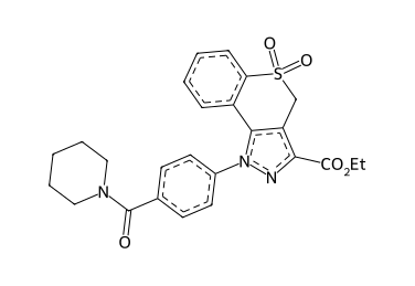 CCOC(=O)c1nn(-c2ccc(C(=O)N3CCCCC3)cc2)c2c1CS(=O)(=O)c1ccccc1-2